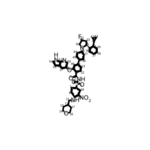 O=C(NS(=O)(=O)c1ccc(NCC2CCOCC2)c([N+](=O)[O-])c1)c1ccc(-c2ccc(N3C[C@@H](F)C[C@H]3c3ccccc3C3CC3)cc2)cc1Oc1cnc2[nH]ccc2c1